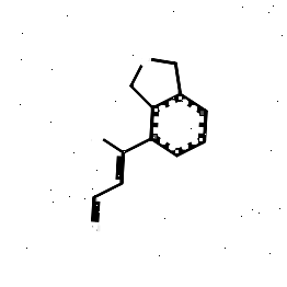 C/C(=C\C=N)c1cccc2c1COC2